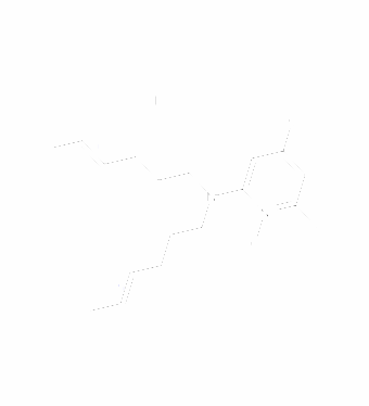 C/C=C/CCCN(CCC/C=C/C)c1cc(Cl)cc(C)[n+]1[O-].Cl